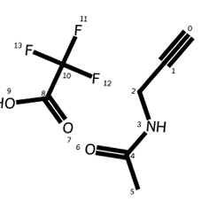 C#CCNC(C)=O.O=C(O)C(F)(F)F